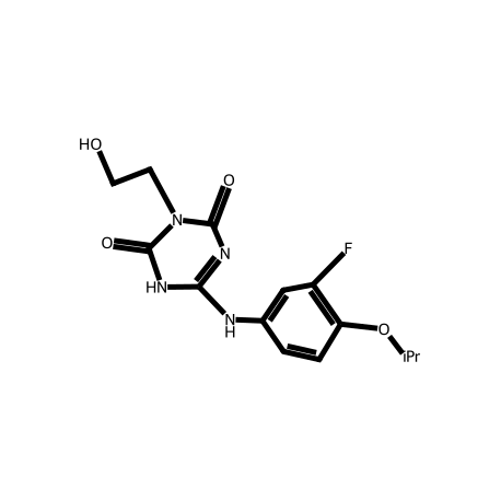 CC(C)Oc1ccc(Nc2nc(=O)n(CCO)c(=O)[nH]2)cc1F